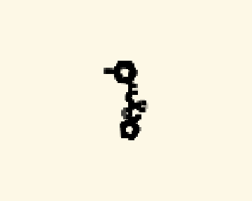 Cc1cccc(OCC(=O)OC2(C)CCCC2)c1